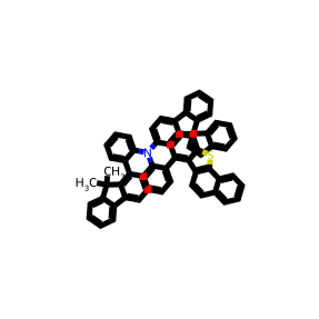 CC1(C)c2ccccc2-c2cccc(-c3ccccc3N(c3ccc4c(c3)C3(CCc5ccccc53)c3ccccc3-4)c3ccccc3-c3cccc4sc5c6ccccc6ccc5c34)c21